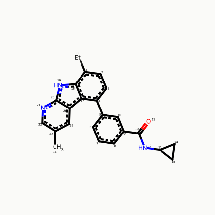 CCc1ccc(-c2cccc(C(=O)NC3CC3)c2)c2c1[nH]c1ncc(C)cc12